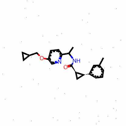 Cc1cccc([C@@H]2C[C@H]2C(=O)NC(C)c2ccc(OCC3CC3)cn2)c1